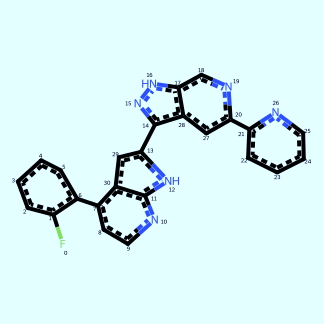 Fc1ccccc1-c1ccnc2[nH]c(-c3n[nH]c4cnc(-c5ccccn5)cc34)cc12